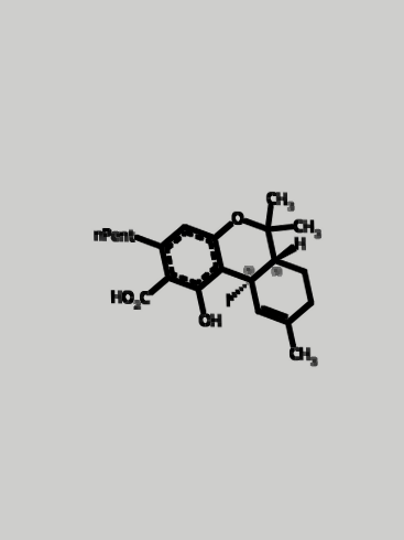 CCCCCc1cc2c(c(O)c1C(=O)O)[C@]1(I)C=C(C)CC[C@H]1C(C)(C)O2